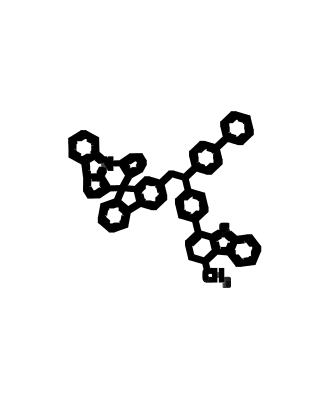 CC1CC=C(c2ccc(C(Cc3ccc4c(c3)C3(c5ccccc5-4)c4ccccc4-n4c5ccccc5c5cccc3c54)c3ccc(-c4ccccc4)cc3)cc2)c2sc3ccccc3c21